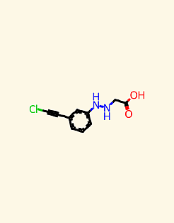 O=C(O)CNNc1cccc(C#CCl)c1